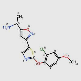 COc1ccc(Oc2ncc(-c3cc(C(C)N)on3)s2)c(Cl)c1